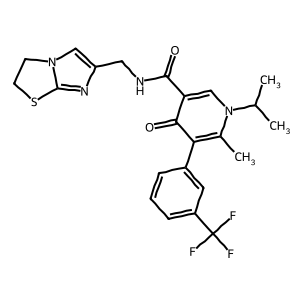 Cc1c(-c2cccc(C(F)(F)F)c2)c(=O)c(C(=O)NCc2cn3c(n2)SCC3)cn1C(C)C